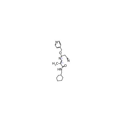 C/C(=C\N=C(/CC#N)OCc1ccncc1)C(=O)NCC1CCCCC1